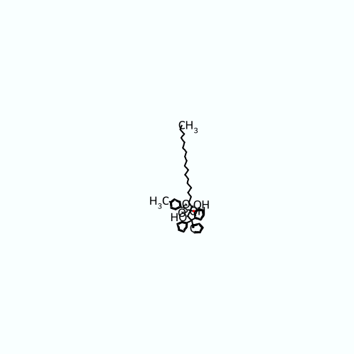 CCCCCCCCCCCCCCCCCCC(O)C(O)(C(O)C(c1ccccc1)(c1ccccc1)c1ccccc1)S(=O)(=O)c1ccc(C)cc1